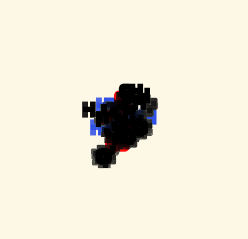 CC(C(=O)C1C(NC(=O)C(C)(C)NC(=O)OC(C)(C)C)NCCC1(C(=O)OCc1ccccc1)c1ccccc1)c1c[nH]c2ccccc12